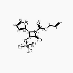 C=CCOC(=O)N1C(=O)[C@@H](O[Si](CC)(CC)CC)[C@H]1c1ccco1